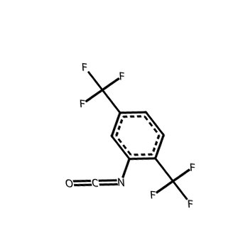 O=C=Nc1cc(C(F)(F)F)ccc1C(F)(F)F